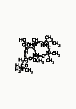 C=Cc1c(C)c2cc3nc(c4c5[nH]c(cc6nc(cc1[nH]2)C(C)=C6CC)c(C)c5C(=O)OC(C)(CCOC(C)(C)N)SCCNC(O)C4)C(CCC(=O)O)C3C